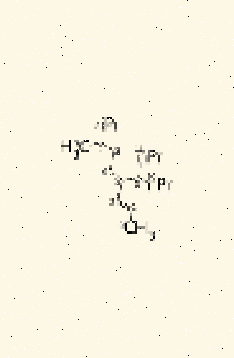 CC=CC(CCC(C)C(C)C)C(CCC)CCC